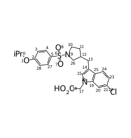 CC(C)Oc1ccc(S(=O)(=O)N2CCC(Cc3cn(CC(=O)O)c4cc(Cl)ccc34)C2)cc1